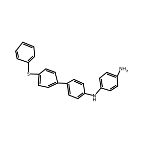 Nc1ccc(Nc2ccc(-c3ccc(Sc4ccccc4)cc3)cc2)cc1